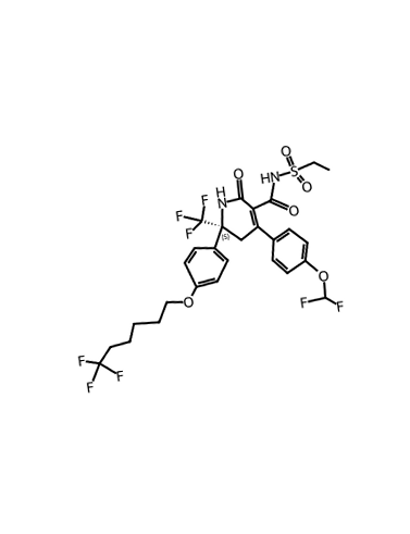 CCS(=O)(=O)NC(=O)C1=C(c2ccc(OC(F)F)cc2)C[C@](c2ccc(OCCCCCC(F)(F)F)cc2)(C(F)(F)F)NC1=O